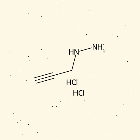 C#CCNN.Cl.Cl